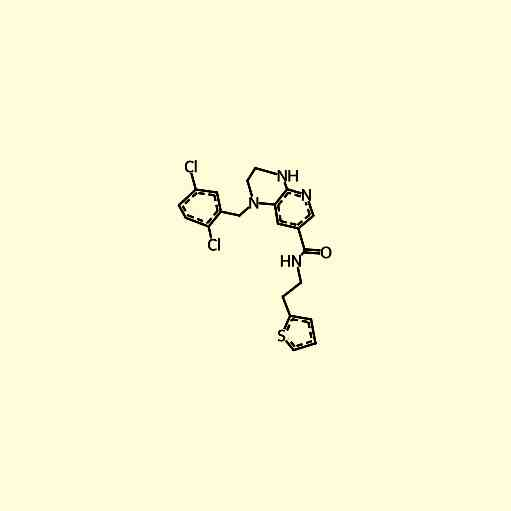 O=C(NCCc1cccs1)c1cnc2c(c1)N(Cc1cc(Cl)ccc1Cl)CCN2